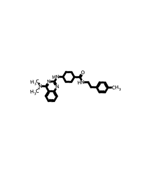 Cc1ccc(CCNC(=O)C2CCC(Nc3nc(N(C)C)c4ccccc4n3)CC2)cc1